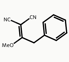 COC(Cc1ccccc1)=C(C#N)C#N